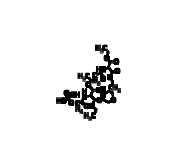 C1COCCN1.CCOC(=O)C(NC(C)=O)C(=O)OCC.CCOC(=O)C(NC(C)=O)C(=O)OCC.O=S(=O)(O)O